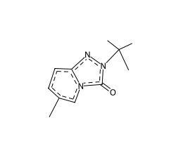 Cc1ccc2nn(C(C)(C)C)c(=O)n2c1